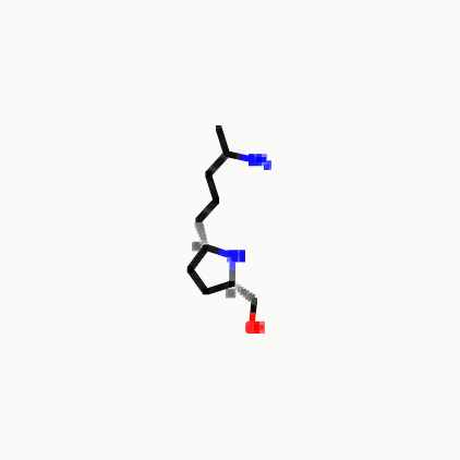 CC(N)CCC[C@H]1CC[C@@H](CO)N1